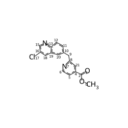 COC(=O)c1ccnc(Cc2ccc3ncc(Cl)cc3c2)c1